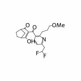 COCCCc1nc(CC(F)F)ccc1C(=O)C1=C(O)C2CCC(C2)C1=O